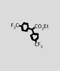 CCOC(=O)C(c1ccc(C(F)(F)F)cc1)c1ccc(C(F)(F)F)cc1